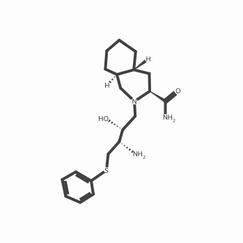 NC(=O)[C@@H]1C[C@H]2CCCC[C@@H]2CN1C[C@@H](O)[C@H](N)CSc1ccccc1